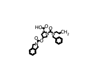 C=CCN(Cc1ccccc1)C(=O)N1CC(OC(=O)N2Cc3ccccc3C2)C[C@H]1C(=O)O